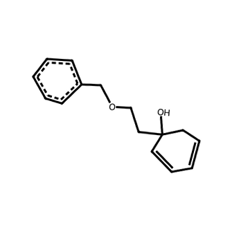 OC1(CCOCc2ccccc2)C=CC=CC1